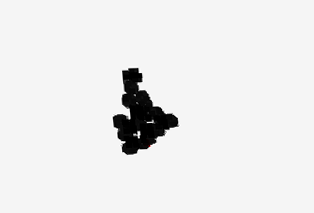 FC(F)(F)c1ccc(-c2cccc(-c3nc(-c4cc(-n5c6ccccc6c6ccc(-n7c8ccccc8c8ccccc87)cc65)cc(-n5c6ccccc6c6ccc(-n7c8ccccc8c8ccccc87)cc65)c4)nc4ccc5ccccc5c34)c2)cc1